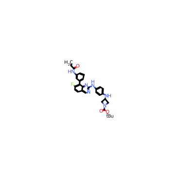 C=CC(=O)Nc1cccc(-c2c(F)ccc3cnc(Nc4ccc(NC5CN(C(=O)OC(C)(C)C)C5)cc4)nc23)c1